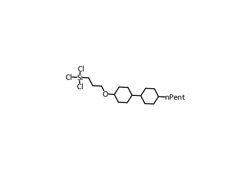 CCCCCC1CCC(C2CCC(OCCC[Si](Cl)(Cl)Cl)CC2)CC1